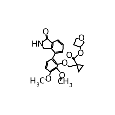 COc1ccc(-c2cccc3c2CNC3=O)c(OCC2(C(=O)OC3CCOC3)CC2)c1OC